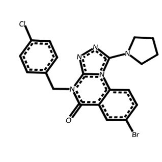 O=c1c2cc(Br)ccc2n2c(N3CCCC3)nnc2n1Cc1ccc(Cl)cc1